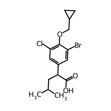 CC(C)CC(C(=O)O)c1cc(Cl)c(OCC2CC2)c(Br)c1